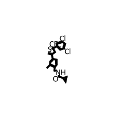 Cc1cc(C2=CSC(c3cc(Cl)cc(Cl)c3)(C(F)(F)F)C2)ccc1CNC(=O)C1CC1